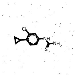 NC(=S)Nc1ccc(C2CC2)c(Cl)c1